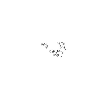 [AlH3].[BaH2].[CaH2].[MgH2].[SrH2].[TeH2].[Y]